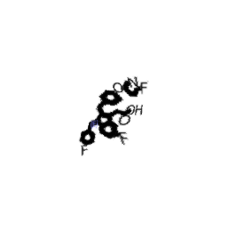 O=C(O)CC1=C(Cc2ccc(Oc3ccc(F)nc3)cc2)/C(=C/c2ccc(F)cc2)c2ccc(F)cc21